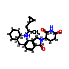 CC(CC1CC1)N[C@H]1CCCC[C@@H]1Cc1ccc2c(c1)CN(C1CCC(=O)NC1=O)C2=O